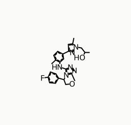 Cc1ccc(-c2cc(C)n(CC(C)O)n2)cc1Nc1nnc2n1C(c1ccc(F)cc1)COC2